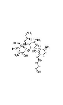 NCC(O)CN[C@@H]1C[C@H](N)C(O[C@H]2O[C@H](CNCCCO)CC[C@H]2N)[C@H](O)[C@H]1O[C@H]1O[C@H](CO)[C@@H](O)[C@H](N)[C@H]1O